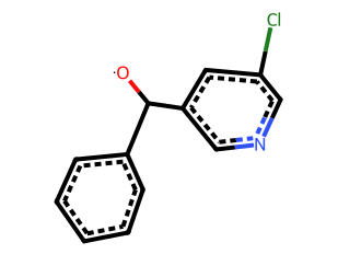 [O]C(c1ccccc1)c1cncc(Cl)c1